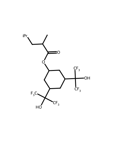 CC(C)CC(C)C(=O)OC1CC(C(O)(C(F)(F)F)C(F)(F)F)CC(C(O)(C(F)(F)F)C(F)(F)F)C1